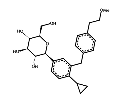 COCCc1ccc(Cc2cc([C@@H]3O[C@H](CO)[C@@H](O)[C@H](O)[C@H]3O)ccc2C2CC2)cc1